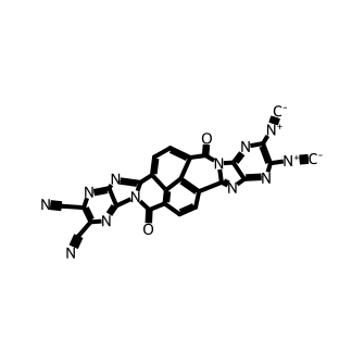 [C-]#[N+]c1nc2nc3c4ccc5c(=O)n6c7nc(C#N)c(C#N)nc7nc6c6ccc(c(=O)n3c2nc1[N+]#[C-])c4c56